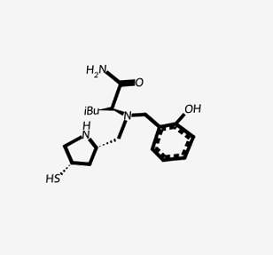 CC[C@H](C)[C@@H](C(N)=O)N(Cc1ccccc1O)C[C@@H]1C[C@H](S)CN1